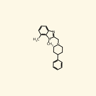 Cc1cccc2nc(CN3CCC(c4ccccc4)CC3)n(C)c12